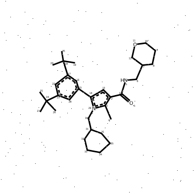 Cc1c(C(=O)NCC2CCCOC2)cc(-c2cc(C(C)(C)C)cc(C(C)(C)C)c2)n1CC1CCCCC1